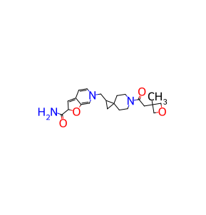 CC1(CC(=O)N2CCC3(CC2)CC3CN2C=CC3=CC(C(N)=O)OC3=C2)COC1